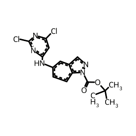 CC(C)(C)OC(=O)n1ncc2cc(Nc3cc(Cl)nc(Cl)n3)ccc21